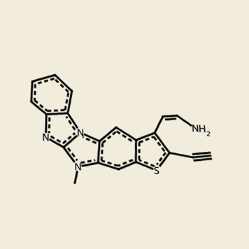 C#Cc1sc2cc3c(cc2c1/C=C\N)n1c2ccccc2nc1n3C